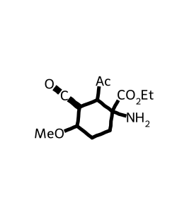 CCOC(=O)C1(N)CCC(OC)C(=C=O)C1C(C)=O